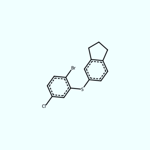 Clc1ccc(Br)c(Sc2ccc3c(c2)CCC3)c1